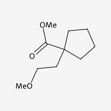 COCCC1(C(=O)OC)CCCC1